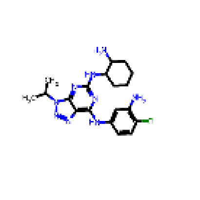 CC(C)n1nnc2c(Nc3ccc(Cl)c(N)c3)nc(NC3CCCCC3N)nc21